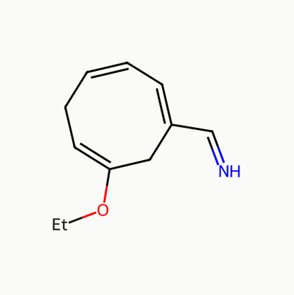 CCO/C1=C/C/C=C\C=C(\C=N)C1